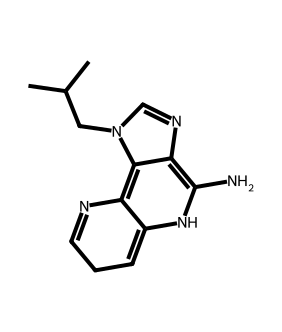 CC(C)Cn1cnc2c1=C1N=CCC=C1NC=2N